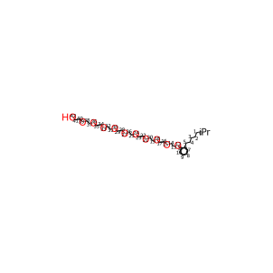 CC(C)CCCCCc1ccccc1OCCOCCOCCOCCOCCOCCOCCOCCOCCOCCO